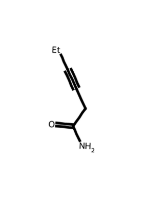 CCC#CCC(N)=O